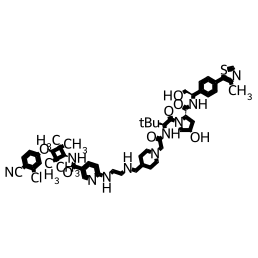 Cc1ncsc1-c1ccc([C@H](CO)NC(=O)[C@@H]2C[C@@H](O)CN2C(=O)[C@@H](NC(=O)CN2CCC(CNCCNc3ccc(C(=O)N[C@H]4C(C)(C)[C@H](Oc5ccc(C#N)c(Cl)c5)C4(C)C)cn3)CC2)C(C)(C)C)cc1